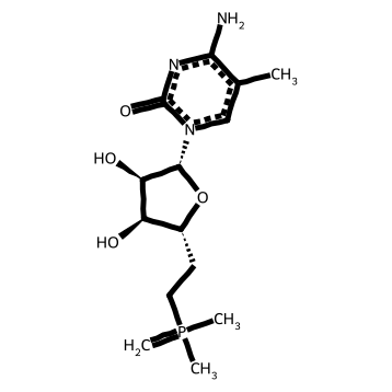 C=P(C)(C)CC[C@H]1O[C@@H](n2cc(C)c(N)nc2=O)[C@H](O)[C@@H]1O